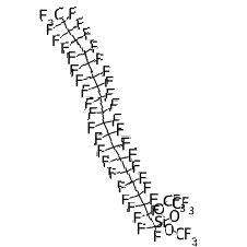 FC(F)(F)O[Si](OC(F)(F)F)(OC(F)(F)F)C(F)(F)C(F)(F)C(F)(F)C(F)(F)C(F)(F)C(F)(F)C(F)(F)C(F)(F)C(F)(F)C(F)(F)C(F)(F)C(F)(F)C(F)(F)C(F)(F)C(F)(F)C(F)(F)C(F)(F)C(F)(F)C(F)(F)C(F)(F)F